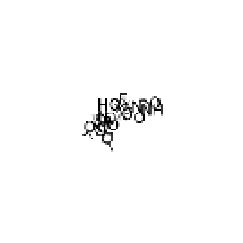 Cc1ccc(OP(=O)(N[C@@H](C)C(=O)OC(C)C)OC[C@H]2OC(n3ccc(=O)[nH]c3=O)[C@](C)(F)[C@@H]2O)cc1